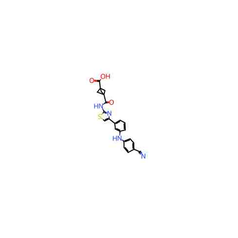 N#Cc1ccc(Nc2cccc(-c3csc(NC(=O)C45CC(C(=O)O)(C4)C5)n3)c2)cc1